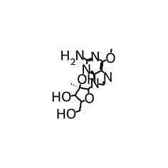 COc1nc(N)nc2c1ncn2C1OC(CO)C(O)[C@@]1(C)O